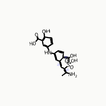 C\C(N)=C(/C=c1/cc(Nc2ccc(O)c(C(=O)O)c2)cc/c1=C(/C)O)S(=O)(=O)O